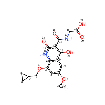 COc1cc(OCC2CC2)c2[nH]c(=O)c(C(=O)NCC(=O)O)c(O)c2c1